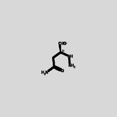 NN[C@H]([C]=O)CC(N)=O